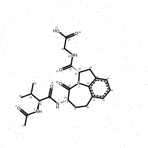 CC(=O)N[C@H](C(=O)N[C@H]1CCc2cccc3c2N(C1=O)[C@H](C(=O)NCC(=O)O)C3)C(C)C